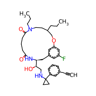 C#Cc1cccc(C2(NC[C@@H](O)[C@@H]3Cc4cc(F)cc(c4)OCC(CCC)CCN(CCC)C(=O)CCCC(=O)N3)CC2)c1